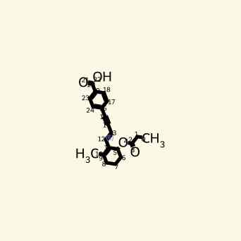 CCC(=O)OC1CCCC(C)=C1/C=C/C#Cc1ccc(C(=O)O)cc1